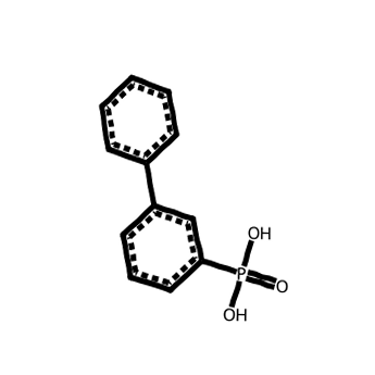 O=P(O)(O)c1cccc(-c2ccccc2)c1